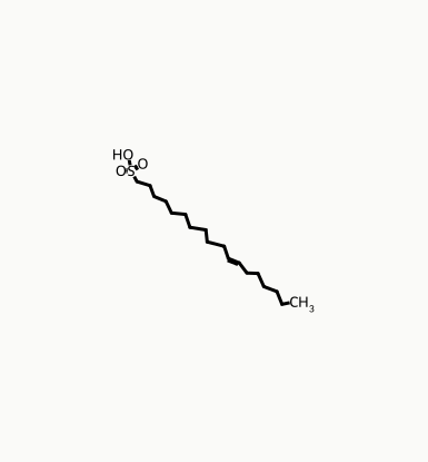 CCCCCCC=CCCCCCCCCCCS(=O)(=O)O